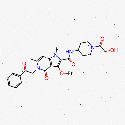 CCOc1c(C(=O)NC2CCN(C(=O)CO)CC2)n(C)c2cc(C)n(CC(=O)c3ccccc3)c(=O)c12